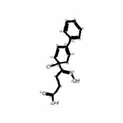 O=C(O)CCC(=NO)C1(Cl)C=CC(c2ccccc2)=CC1